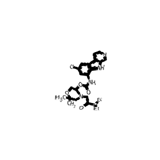 CCN(CC)C(=O)CN1CC(C)(C)OCC1OC(=O)Nc1cc(Cl)cc2c1[nH]c1cnccc12